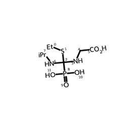 CCSC(NCC(=O)O)(NC(C)C)P(=O)(O)O